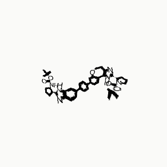 CC(C)(C)OC(=O)N[C@H]1CCC[C@@H]1c1nc2ccc(-c3ccc(-c4ccc5c(c4)OCCc4nc([C@@H]6CCCN6C(=O)OC(C)(C)C)[nH]c4-5)cc3)cc2[nH]1